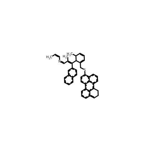 C\C=C/N=C\C(C)=C(/c1ccc2ccccc2c1)C1C(CSc2ccc3c4cccc5c4c(c4cccc2c43)CCC=5)=CC=CC1C